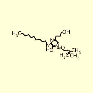 CCCCCCCCCCNc1nc(CCCO)cn(COCC[Si](C)(C)C)c1=O